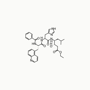 CCOC(=O)C[C@H](O)[C@H](CC(C)C)NC(=O)C(Cc1c[nH]cn1)NC(=O)[C@H](Cc1cccc2ncccc12)NC(=O)c1ccccc1